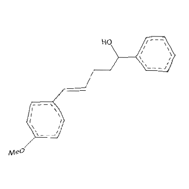 COc1ccc(C=CCCC(O)c2ccccc2)cc1